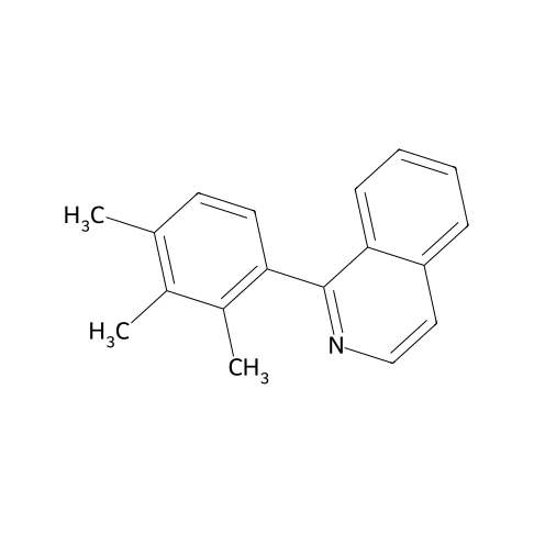 Cc1ccc(-c2nccc3ccccc23)c(C)c1C